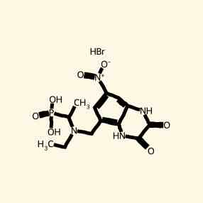 Br.CCN(Cc1cc([N+](=O)[O-])cc2[nH]c(=O)c(=O)[nH]c12)C(C)P(=O)(O)O